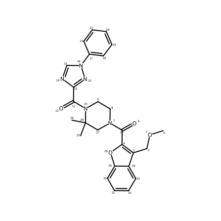 COCc1c(C(=O)N2CCN(C(=O)c3ncn(-c4ccccc4)n3)C(C)(C)C2)oc2ccccc12